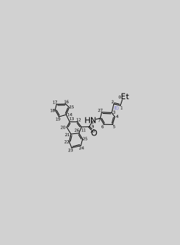 CC/C=C/c1cccc(NC(=O)c2cc(-c3ccccc3)cc3ccccc23)c1